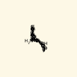 CCOC(=O)C1CCC(O)(COCCN2CCN(c3nc(N)nc4c3CCc3cc(OCc5ccc(Cl)cc5)ccc3-4)CC2)CC1